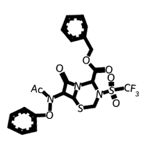 CC(=O)N(Oc1ccccc1)C1C(=O)N2C1SCN(S(=O)(=O)C(F)(F)F)C2C(=O)OCc1ccccc1